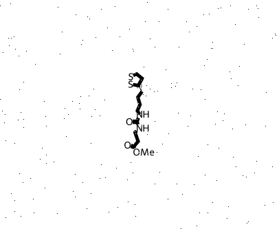 COC(=O)CCNC(=O)NCCCC[C@H]1CCSS1